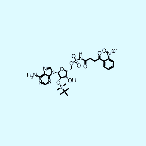 CC(C)(C)[Si](C)(C)O[C@@H]1[C@H](O)[C@@H](COS(=O)(=O)NC(=O)CCC(=O)c2ccccc2[N+](=O)[O-])O[C@H]1n1cnc2c(N)ncnc21